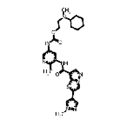 Cc1ncc(NC(=O)OCCN(C)C2CCCCC2)cc1NC(=O)c1cnn2cc(-c3cnn(C)c3)sc12